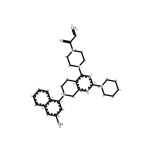 C=CC(=O)N1CCN(c2nc(N3CCCCC3)nc3c2CCN(c2cc(O)cc4ccccc24)C3)CC1